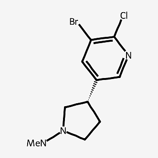 CNN1CC[C@@H](c2cnc(Cl)c(Br)c2)C1